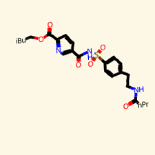 CCCC(=O)NCCc1ccc(S(=O)(=O)NC(=O)c2ccc(C(=O)OCC(C)CC)nc2)cc1